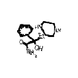 C1CNCCN1.CCC(O)(C(N)=O)c1ccccc1